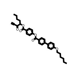 C#CC(=O)C(CCCC)OC(=O)c1ccc(OC(=O)c2ccc(-c3ccc(OCCCCCC)cc3)cc2)cc1